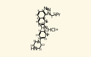 CC(C)Cn1nnc2ccc3cnc(Nc4ccc(N5CCNCC5)cn4)nc3c21.Cl